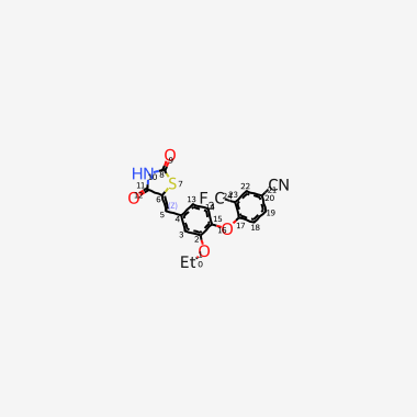 CCOc1cc(/C=C2\SC(=O)NC2=O)ccc1Oc1ccc(C#N)cc1C(F)(F)F